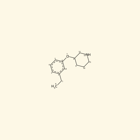 CCc1cccc(OC2CCCNC2)c1